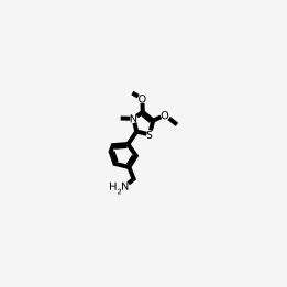 COC1=C(OC)N(C)C(c2cccc(CN)c2)S1